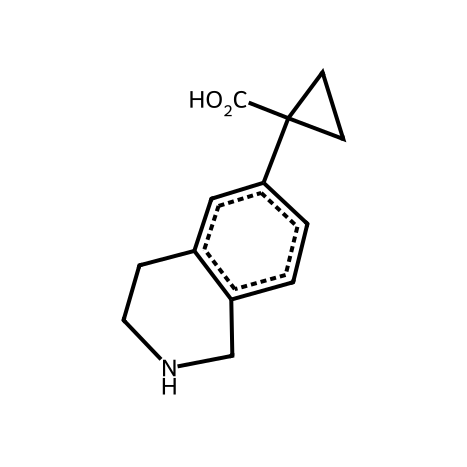 O=C(O)C1(c2ccc3c(c2)CCNC3)CC1